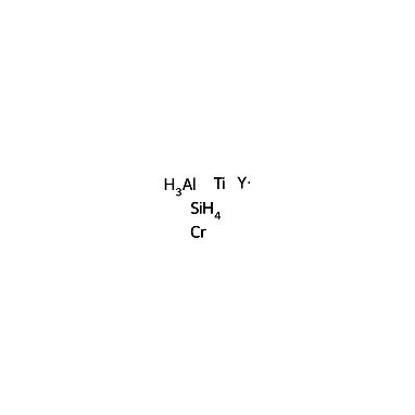 [AlH3].[Cr].[SiH4].[Ti].[Y]